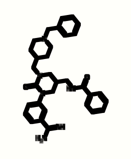 N=C(N)c1cccc(N2CC(CNC(=O)c3ccccc3)CN(CC3CCN(Cc4ccccc4)CC3)C2=O)c1